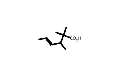 C/C=C/C(C)C(C)(C)C(=O)O